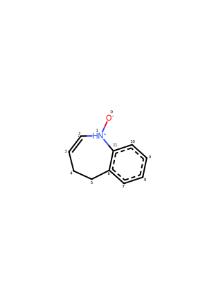 [O-][NH+]1[C]=CCCc2ccccc21